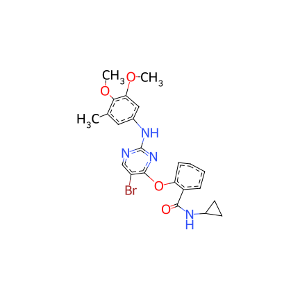 COc1cc(Nc2ncc(Br)c(Oc3ccccc3C(=O)NC3CC3)n2)cc(C)c1OC